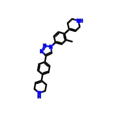 Cc1cc(-n2cc(-c3ccc(C4=CCNCC4)cc3)nn2)ccc1C1=CCNCC1